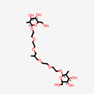 CC(COCCOCCO[C@@H]1OC(CO)[C@H](O)[C@H](O)C1C)COCCOCCO[C@@H]1OC(CO)[C@H](O)[C@H](O)C1C